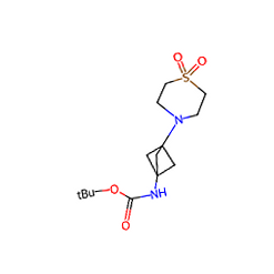 CC(C)(C)OC(=O)NC12CC(N3CCS(=O)(=O)CC3)(C1)C2